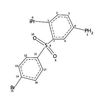 CC(C)c1ccc(P)cc1S(=O)(=O)c1ccc(Br)cc1